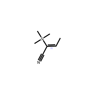 C/C=C(/C#N)[Si](C)(C)C